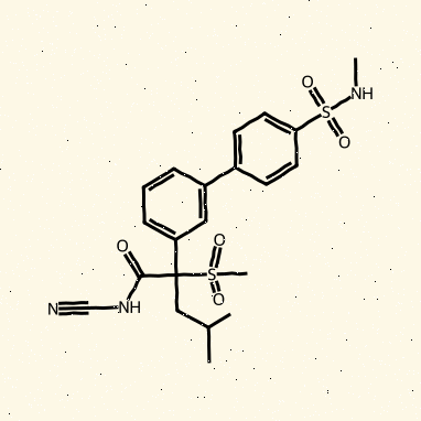 CNS(=O)(=O)c1ccc(-c2cccc(C(CC(C)C)(C(=O)NC#N)S(C)(=O)=O)c2)cc1